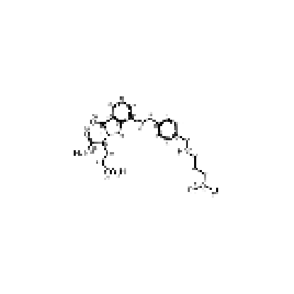 CCN(CC)CCCNCc1ccc(COc2cccc3c2CN(C(CCC(=O)O)C(N)=O)C3=O)cc1